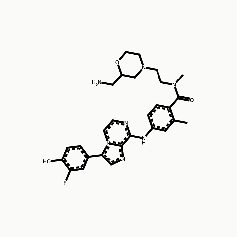 Cc1cc(Nc2nccn3c(-c4ccc(O)c(F)c4)cnc23)ccc1C(=O)N(C)CCN1CCOC(CN)C1